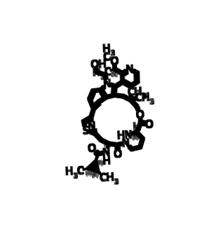 CO[C@@H](C)c1ncccc1-c1c2c3cc(ccc3n1CCO)-c1csc(n1)C[C@H](NC(=O)[C@H]1[C@H](C)[C@@H]1C)C(=O)N1CCC[C@H](N1)C(=O)OCC(C)(C)C2